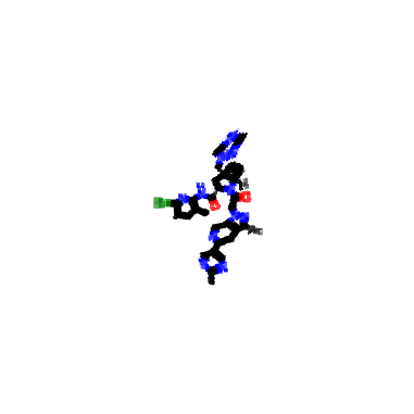 CC(=O)c1nn(CC(=O)N2[C@H](C(=O)Nc3nc(Br)ccc3C)C[C@@]3(Cn4cncn4)C#C[C@@H]23)c2cnc(-c3cnc(C)nc3)cc12